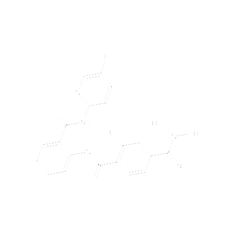 Bc1ccc(NC(=O)c2ccccc2NC(=O)c2ccc(C(=N)N(C)C)cc2F)nc1